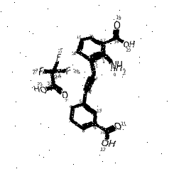 Nc1c(C#Cc2cccc(C(=O)O)c2)cccc1C(=O)O.O=C(O)C(F)(F)F